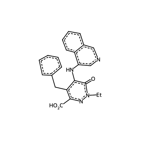 CCn1nc(C(=O)O)c(Cc2ccccc2)c(Nc2cncc3ccccc23)c1=O